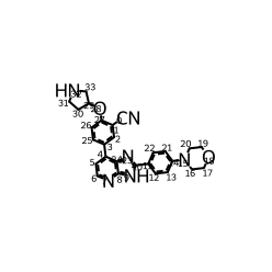 N#Cc1cc(-c2ccnc3[nH]c(-c4ccc(N5CCOCC5)cc4)nc23)ccc1OC1CCNC1